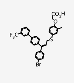 Cc1cc(SCC=C(c2ccc(Br)cc2)c2ccc(-c3cccc(C(F)(F)F)c3)cc2)ccc1OCC(=O)O